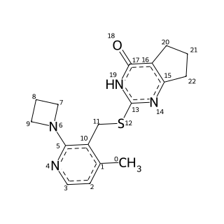 Cc1ccnc(N2CCC2)c1CSc1nc2c(c(=O)[nH]1)CCC2